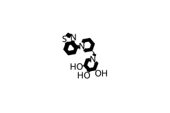 OC1[C@H](O)CN(C[C@H]2CCCN(c3cccc4scnc34)C2)C[C@@H]1O